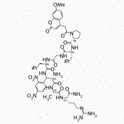 COc1ccc2c(CC(=O)N3CCC[C@@H]3C(=O)N[C@H](CC(C)C)C(=O)NCC(=O)N[C@H](CC(C)C)C(=O)NC(c3ccc([N+](=O)[O-])cc3[N+](=O)[O-])[C@H](N)C(=O)N[C@@H](C)C(=O)N[C@@H](CCCN=C(N)N)C(N)=O)cc(=O)oc2c1